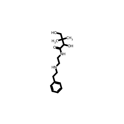 CC(C)(CO)C(O)C(=O)NCCNCCc1ccccc1